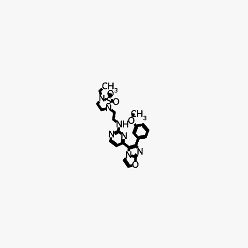 CCN1CCN(CCNc2nccc(-c3c(-c4cccc(OC)c4)nc4occn34)n2)S1(=O)=O